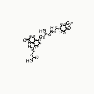 O=C(O)CCOc1ccc(OCC(O)CNCCc2ccc3c(c2)OCO3)c2ccc(=O)[nH]c12